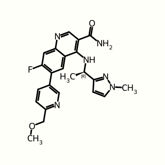 COCc1ccc(-c2cc3c(N[C@H](C)c4ccn(C)n4)c(C(N)=O)cnc3cc2F)cn1